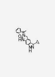 C[C@H](c1ccccc1)N1Cc2cc3c(C4CC4)n[nH]c3cc2NC1=O